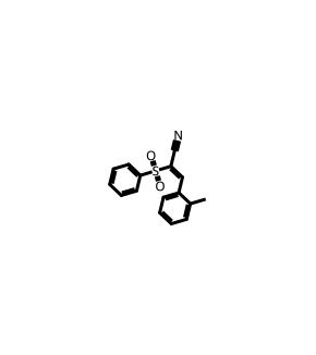 Cc1ccccc1C=C(C#N)S(=O)(=O)c1ccccc1